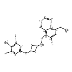 CC(C)(C)c1c(F)cc(OC2CC(NCc3c(F)cc(CO)c4cnccc34)C2)cc1F